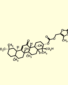 Cc1oc(=O)oc1COC(=O)O[C@H]1CC[C@@]2(C)[C@@H](CC[C@]3(C)[C@@H]2C(=O)C=C2[C@@H]4C[C@@](C)(C(=O)O)CC[C@]4(C)CC[C@]23C)[C@]1(C)C(=O)O